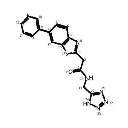 O=C(Cc1nc2ccc(-c3ccccc3)cc2s1)NCc1nnn[nH]1